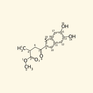 COC(=O)C(C)CC(=O)c1cc2cc(O)c(O)cc2s1